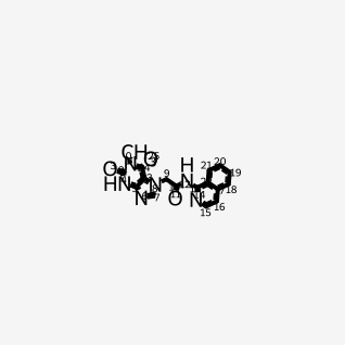 Cn1c(=O)[nH]c2ncn(CC(=O)Nc3nccc4ccccc34)c2c1=O